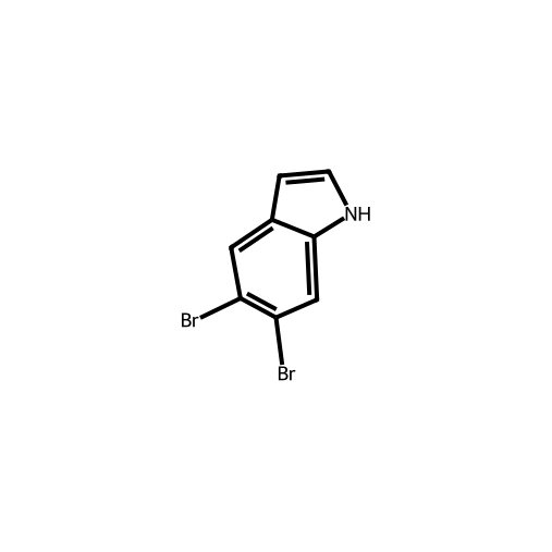 Brc1cc2cc[nH]c2cc1Br